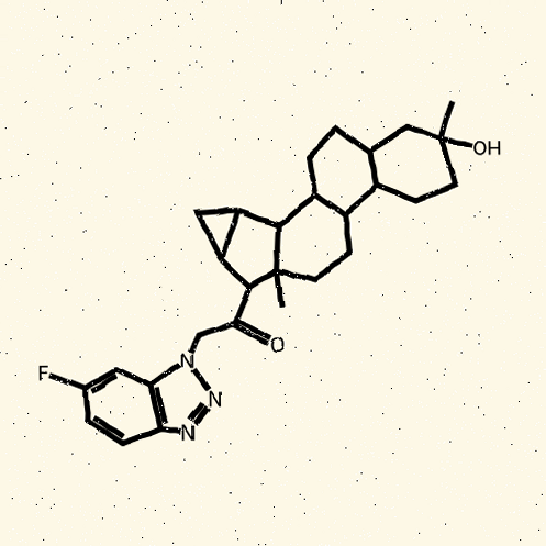 CC1(O)CCC2C(CCC3C2CCC2(C)C(C(=O)Cn4nnc5ccc(F)cc54)C4CC4C32)C1